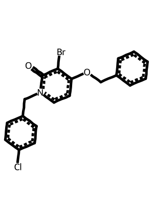 O=c1c(Br)c(OCc2ccccc2)ccn1Cc1ccc(Cl)cc1